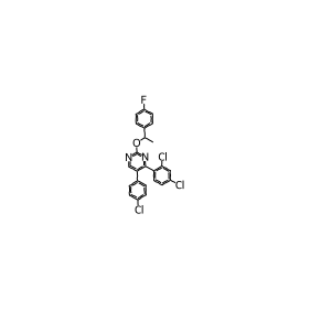 CC(Oc1ncc(-c2ccc(Cl)cc2)c(-c2ccc(Cl)cc2Cl)n1)c1ccc(F)cc1